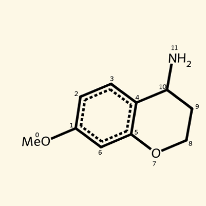 COc1ccc2c(c1)OCCC2N